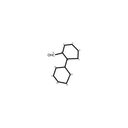 O=CC1CCCCC1C1CCCCC1